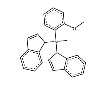 COc1ccccc1[Si](C)(C1C=Cc2ccccc21)C1C=Cc2ccccc21